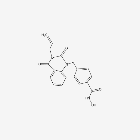 C=CCn1c(=O)c2ccccc2n(Cc2ccc(C(=O)NO)cc2)c1=O